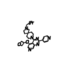 CC(C)CN1CCC2(CCN(c3nc(-c4ccncc4)nc4cncc(OC5COC5)c34)CC2)C1